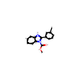 COC(=O)n1c(-c2cccc(C)c2)nc2ccccc21